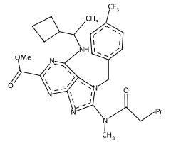 COC(=O)c1nc(NC(C)C2CCC2)c2c(n1)nc(N(C)C(=O)CC(C)C)n2Cc1ccc(C(F)(F)F)cc1